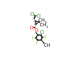 C#Cc1c(F)c(F)c(COC(=O)[C@@H]2[C@@H](C=C(Cl)Cl)C2(C)C)c(Cl)c1F